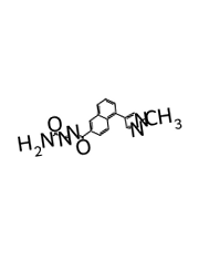 Cn1cc(-c2cccc3cc(C(=O)N=NC(N)=O)ccc23)cn1